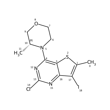 Cc1sc2c(N3CCOC[C@H]3C)nc(Cl)nc2c1I